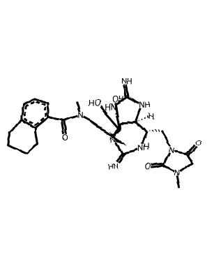 CN1CC(=O)N(C[C@@H]2NC(=N)N3CC(N(C)C(=O)c4cccc5c4CCCC5)C(O)(O)[C@@]34NC(=N)N[C@@H]24)C1=O